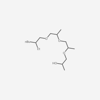 CCCCC(CC)COCC(C)OCC(C)OCC(C)O